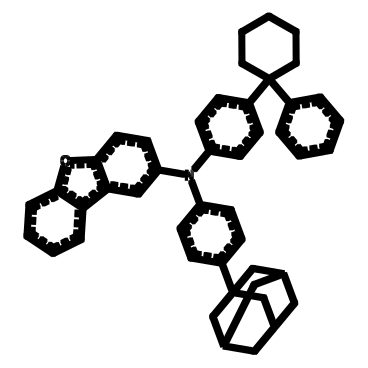 c1ccc(C2(c3ccc(N(c4ccc(C56CC7CC(CC(C7)C5)C6)cc4)c4ccc5oc6ccccc6c5c4)cc3)CCCCC2)cc1